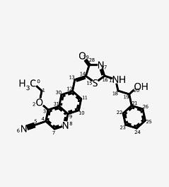 CCOc1c(C#N)cnc2ccc(/C=C3\SC(NCC(O)c4ccccc4)=NC3=O)cc12